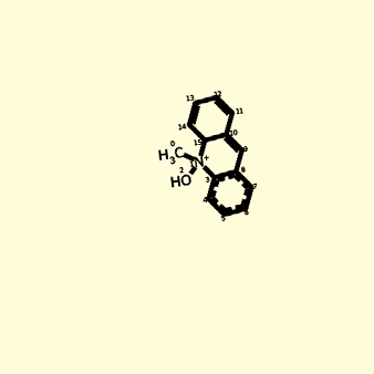 C[N+]1(O)c2ccccc2C=C2C=CC=CC21